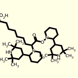 CC1(C)CC(C2CCCCN2OC(=O)C(CCCCCCCC(=O)O)N2CCCCC2C2CC(C)(C)NC(C)(C)C2)CC(C)(C)N1